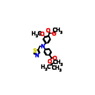 COC(=O)c1ccc(N(Cc2cncs2)c2ccc(C(=O)OC(C)(C)C)cc2)cc1OC